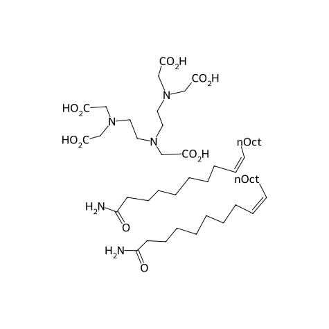 CCCCCCCC/C=C\CCCCCCCC(N)=O.CCCCCCCC/C=C\CCCCCCCC(N)=O.O=C(O)CN(CCN(CC(=O)O)CC(=O)O)CCN(CC(=O)O)CC(=O)O